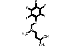 CC(O)CCN(C)COc1c(F)c(F)c(F)c(F)c1F